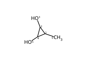 CC1C(O)C1O